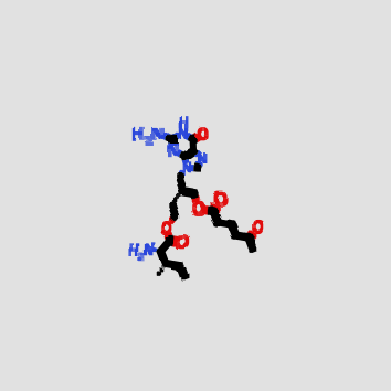 CC[C@H](C)[C@H](N)C(=O)OCC[C@@H](COC(=O)CCCC(C)=O)Cn1cnc2c(=O)[nH]c(N)nc21